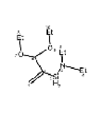 C=C([SiH2]N(CC)CC)C(OCC)OCC